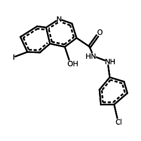 O=C(NNc1ccc(Cl)cc1)c1cnc2ccc(I)cc2c1O